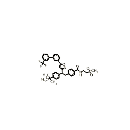 CC(C)(C)c1ccc(C(Cc2ccc(C(=O)NCCS(C)(=O)=O)cc2)c2cc(-c3cccc(-c4cccc(C(F)(F)F)c4)c3)on2)cc1